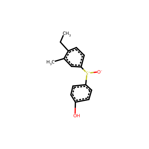 CCc1ccc([S+]([O-])c2ccc(O)cc2)cc1C